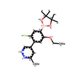 COCOc1cc(-c2cnnc(OC)c2)c(F)cc1B1OC(C)(C)C(C)(C)O1